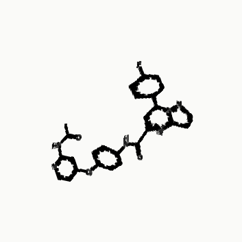 CC(=O)Nc1cc(Oc2ccc(NC(=O)c3cc(-c4ccc(F)cc4)n4nccc4n3)cc2)ccn1